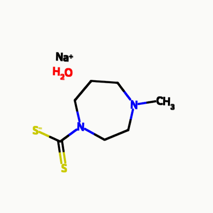 CN1CCCN(C(=S)[S-])CC1.O.[Na+]